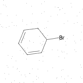 BrC1C=CC=CC1